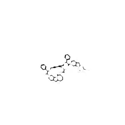 CCC[C@H]1C[C@H]2CCN(C(=O)C(OCC#CC#CCOC(c3ccccc3)C(O)N3CC[C@@H]4C[C@@H]5CCC[C@H](NC(=O)[C@H](C)NC)C(=O)N5[C@@H]4C3)c3ccccc3)C[C@H]2N1NC